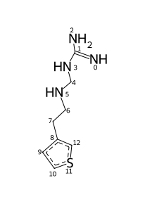 N=C(N)NCNCCc1ccsc1